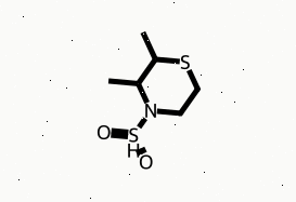 CC1SCCN([SH](=O)=O)C1C